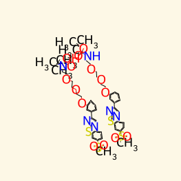 CC(C)(C)N(CCOCCOCCOc1cccc(-c2cn3c(n2)sc2cc(S(C)(=O)=O)ccc23)c1)C(=O)O.CC(C)(C)OC(=O)NCCOCCOCCOc1cccc(-c2cn3c(n2)sc2cc(S(C)(=O)=O)ccc23)c1